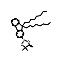 C=C1OB(c2ccc3c(c2)C(CCCCCCCC)(CCCCCCCC)c2ccccc2-3)OC1(C)C